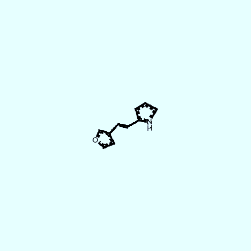 C(=C\c1ccc[nH]1)/c1ccoc1